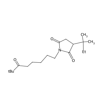 CCC(C)(C)C1CC(=O)N(CCCCCC(=O)C(C)(C)C)C1=O